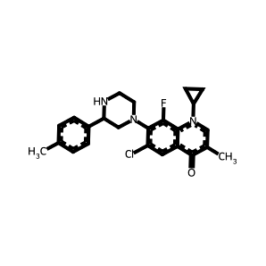 Cc1ccc(C2CN(c3c(Cl)cc4c(=O)c(C)cn(C5CC5)c4c3F)CCN2)cc1